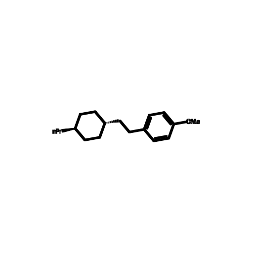 CCC[C@H]1CC[C@H](CCc2ccc(OC)cc2)CC1